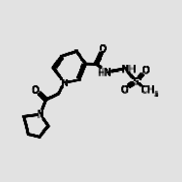 CS(=O)(=O)NNC(=O)C1=CN(CC(=O)N2CCCC2)C=CC1